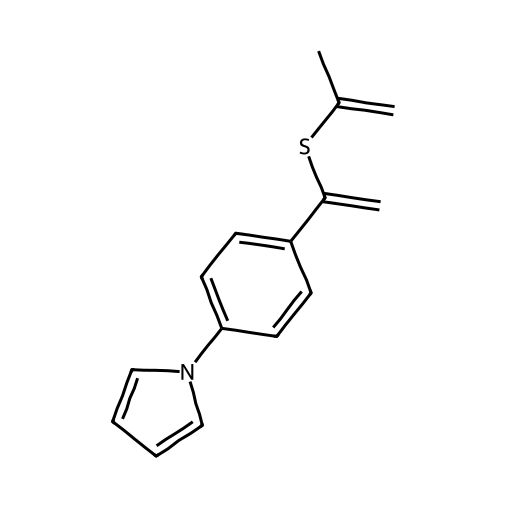 C=C(C)SC(=C)c1ccc(-n2cccc2)cc1